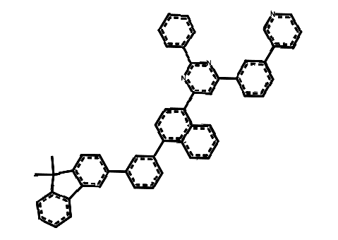 CC1(C)c2ccccc2-c2cc(-c3cccc(-c4ccc(-c5cc(-c6cccc(-c7cccnc7)c6)nc(-c6ccccc6)n5)c5ccccc45)c3)ccc21